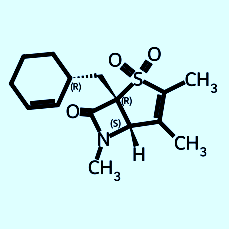 CC1=C(C)S(=O)(=O)[C@@]2(C[C@@H]3C=CCCC3)C(=O)N(C)[C@@H]12